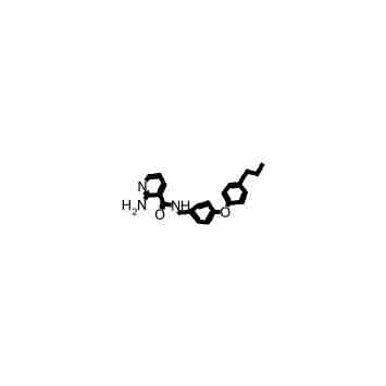 CCCc1ccc(Oc2ccc(CNC(=O)c3cccnc3N)cc2)cc1